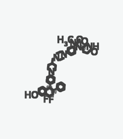 Cn1c(=O)n([C@@H]2CCC(=O)NC2=O)c2ccc(N3CCN(CC4CCN(c5ccc([C@@H]6c7ccc(O)cc7C(F)(F)C[C@@H]6c6ccccc6)cc5)CC4)CC3)cc21